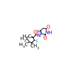 C=C(C(=O)NC1CCC(=O)NC1=O)C(F)[C@H](C)C(C)C